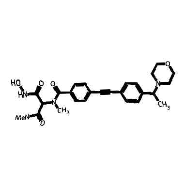 CNC(=O)C(C(=O)NO)N(C)C(=O)c1ccc(C#Cc2ccc(C(C)N3CCOCC3)cc2)cc1